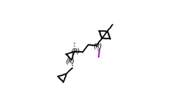 CC12CC1([C@H](I)CC[C@]1(C)C[C@H]1CC1CC1)C2